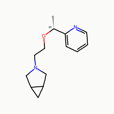 C[C@@H](OCCN1CC2CC2C1)c1ccccn1